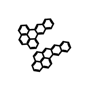 c1ccc2cc3c(cc2c1)c1cccc2ccc4cccc3c4c21.c1ccc2cc3c(cc2c1)cc1ccc2cccc4ccc3c1c24